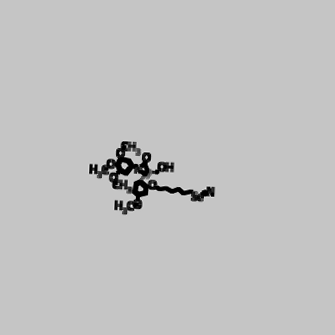 COc1ccc([C@H]2[C@@H](CO)C(=O)N2c2cc(OC)c(OC)c(OC)c2)c(OCCCCCC[Se]C#N)c1